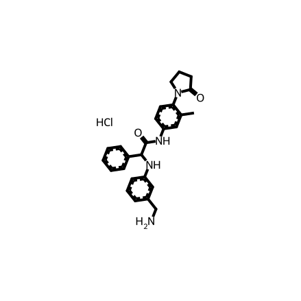 Cc1cc(NC(=O)C(Nc2cccc(CN)c2)c2ccccc2)ccc1N1CCCC1=O.Cl